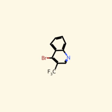 FC(F)(F)c1cnc2ccccc2c1Br